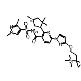 Cc1nn(C)cc1S(=O)(=O)NC(=O)c1ccc(-n2ccc(OCCC3([Si](C)(C)C)CC3)n2)nc1C1C[C@@H](C)CC1(C)C